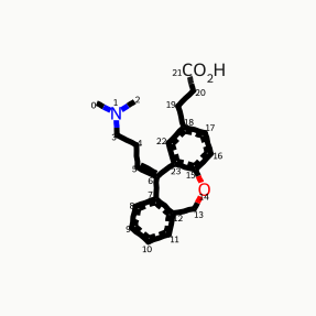 CN(C)CCC=C1c2ccccc2COc2ccc(CCC(=O)O)cc21